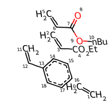 C=C.C=CC(=O)OCC.C=CC(=O)OCCCC.C=Cc1ccccc1